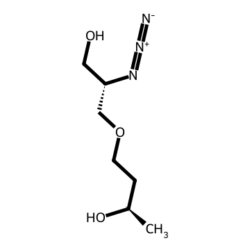 C[C@@H](O)CCOC[C@H](CO)N=[N+]=[N-]